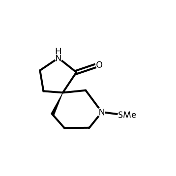 CSN1CCC[C@]2(CCNC2=O)C1